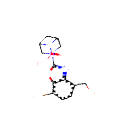 O=C(O)N1C2CC1CN(c1nc3c(CO)ccc(Br)c3o1)C2